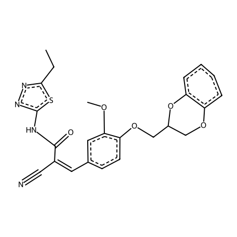 CCc1nnc(NC(=O)C(C#N)=Cc2ccc(OCC3COc4ccccc4O3)c(OC)c2)s1